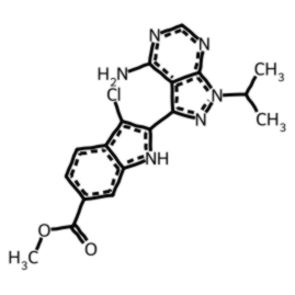 COC(=O)c1ccc2c(Cl)c(-c3nn(C(C)C)c4ncnc(N)c34)[nH]c2c1